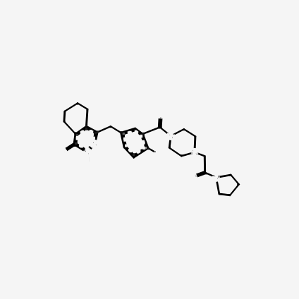 O=C(CN1CCN(C(=O)c2cc(Cc3n[nH]c(=O)c4c3CCCC4)ccc2F)CC1)N1CCCC1